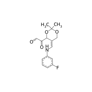 CC1(C)OCC(=CNc2cccc(F)c2)C(C(=O)C=O)O1